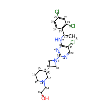 CC(Nc1nc(N2CC([C@H]3CCCN(CCO)C3)C2)ncc1Cl)c1ccc(Cl)cc1Cl